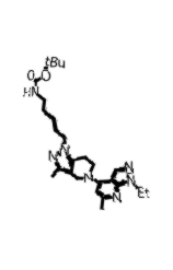 CCn1ncc2c(N3CCc4c(c(C)nn4CCCCCNC(=O)OC(C)(C)C)C3)cc(C)nc21